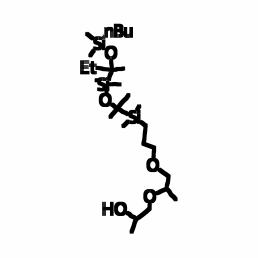 CCCC[Si](C)(C)OC(C)(CC)[Si](C)(C)OC(C)(C)[Si](C)(C)CCCOCC(C)OCC(C)O